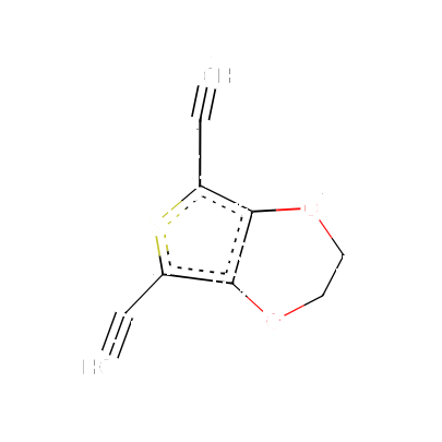 C#Cc1sc(C#C)c2c1OCCO2